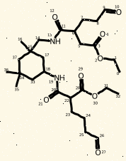 CCOC(=O)CC(CCC=O)C(=O)NCC1(C)CC(NC(=O)C(CCCC=O)C(=O)OCC)CC(C)(C)C1